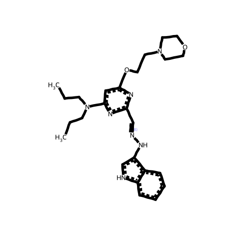 CCCN(CCC)c1cc(OCCN2CCOCC2)nc(/C=N/Nc2c[nH]c3ccccc23)n1